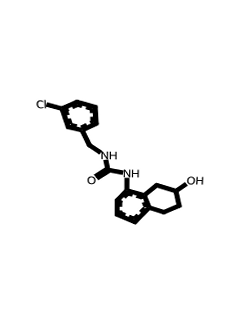 O=C(NCc1cccc(Cl)c1)Nc1cccc2c1CC(O)CC2